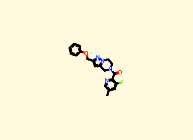 Cc1cnc(C(=O)N2CCn3nc(COc4ccccc4)cc3C2)c(F)c1